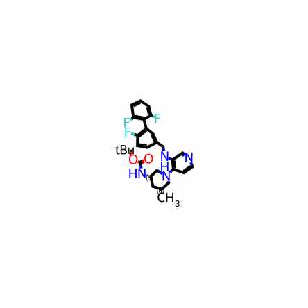 C[C@@H]1C[C@H](NC(=O)OC(C)(C)C)CN(c2ccncc2NCc2ccc(F)c(-c3c(F)cccc3F)c2)C1